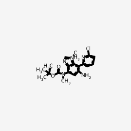 CN(C(=O)OC(C)(C)C)c1cc(N)c(-c2cccc(Cl)n2)c2c1ncn2C